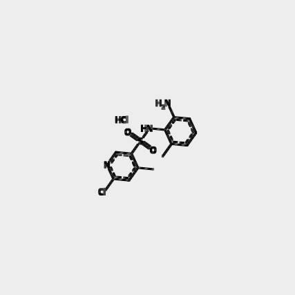 Cc1cc(Cl)ncc1S(=O)(=O)Nc1c(C)cccc1N.Cl